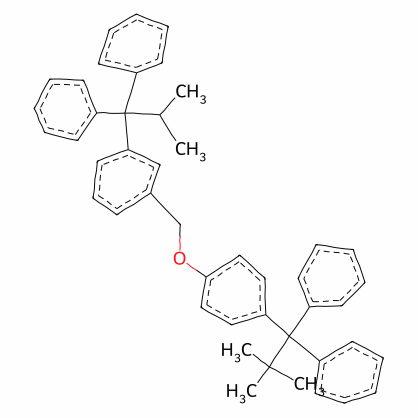 CC(C)C(c1ccccc1)(c1ccccc1)c1cccc(COc2ccc(C(c3ccccc3)(c3ccccc3)C(C)(C)C)cc2)c1